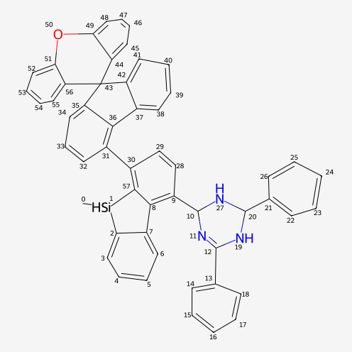 C[SiH]1c2ccccc2-c2c(C3N=C(c4ccccc4)NC(c4ccccc4)N3)ccc(-c3cccc4c3-c3ccccc3C43c4ccccc4Oc4ccccc43)c21